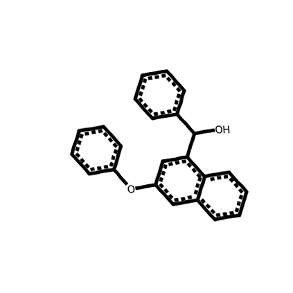 OC(c1ccccc1)c1cc(Oc2ccccc2)cc2ccccc12